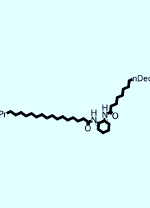 CCCCCCCCCCCCCCCCCC(=O)N[C@H]1CCCC[C@@H]1NC(=O)CCCCCCCCCCCCCCCC(C)C